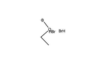 Br.Br.[B]OCC